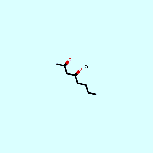 CCCCC(=O)CC(C)=O.[Cr]